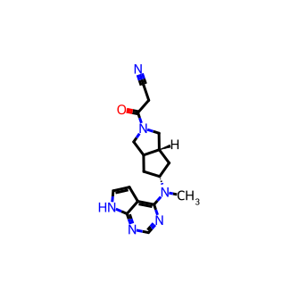 CN(c1ncnc2[nH]ccc12)[C@@H]1CC2CN(C(=O)CC#N)C[C@@H]2C1